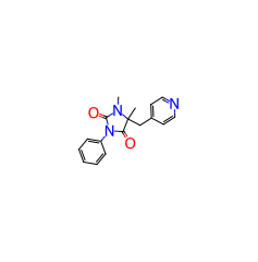 CN1C(=O)N(c2ccccc2)C(=O)C1(C)Cc1ccncc1